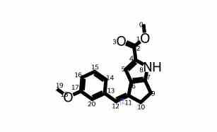 COC(=O)c1cc2c([nH]1)CC/C2=C/c1cccc(OC)c1